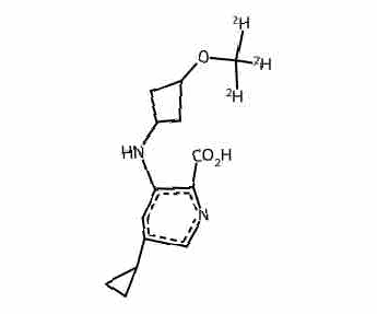 [2H]C([2H])([2H])OC1CC(Nc2cc(C3CC3)cnc2C(=O)O)C1